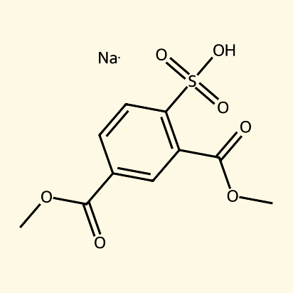 COC(=O)c1ccc(S(=O)(=O)O)c(C(=O)OC)c1.[Na]